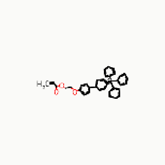 C=CC(=O)OCCOc1ccc(-c2ccc([Si](c3ccccc3)(c3ccccc3)c3ccccc3)cc2)cc1